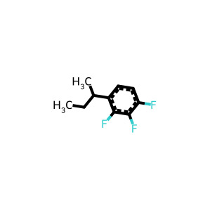 CCC(C)c1ccc(F)c(F)c1F